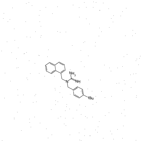 CC(C)(C)c1ccc(CN(Cc2cccc3ccccc23)C(=N)N)cc1